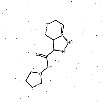 O=C(NN1CCCC1)C1NNC2=CCOCC21